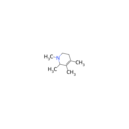 CC1=C(C)C(C)N(C)CC1